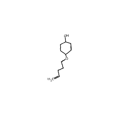 C=CCCCOC1CCC(O)CC1